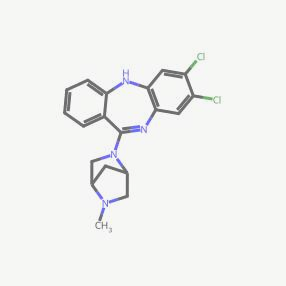 CN1CC2CC1CN2C1=Nc2cc(Cl)c(Cl)cc2Nc2ccccc21